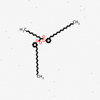 CCCCCCCCCCCCCCCc1cccc(OC(=O)C(CCCCCCCCC)C(=O)Oc2cccc(CCCCCCCCCCCCCCC)c2)c1